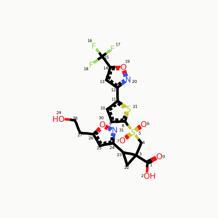 O=C(O)C1(CS(=O)(=O)c2ccc(-c3cc(C(F)(F)F)on3)s2)CC1c1cc(CCO)on1